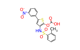 Cc1ccccc1S(=O)(=O)Nc1cc(-c2cccc([N+](=O)[O-])c2)sc1OC(=O)O